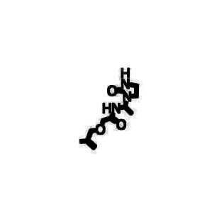 C=C(C)COCC(=O)NC(C)N1CCNC1=O